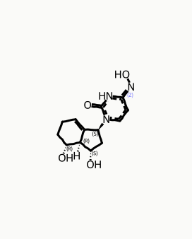 O=c1[nH]/c(=N\O)ccn1[C@H]1C[C@H](O)[C@@H]2C1=CCC[C@H]2O